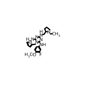 CCN1CCCC1CNC1=NC(N)N(Cc2ccco2)C(Nc2ccc(OC)c(F)c2)=N1